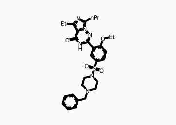 CCCc1nc(CC)c2c(=O)[nH]c(-c3cc(S(=O)(=O)N4CCN(Cc5ccccc5)CC4)ccc3OCC)nn12